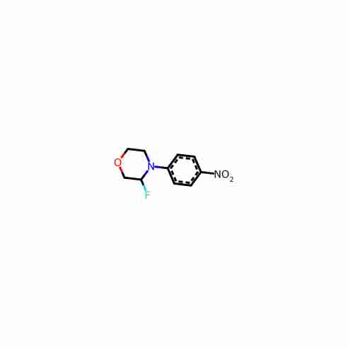 O=[N+]([O-])c1ccc(N2CCOCC2F)cc1